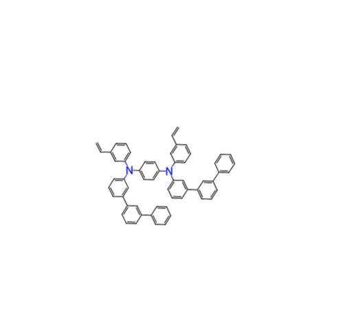 C=Cc1cccc(N(c2ccc(N(c3cccc(C=C)c3)c3cccc(-c4cccc(-c5ccccc5)c4)c3)cc2)c2cccc(-c3cccc(-c4ccccc4)c3)c2)c1